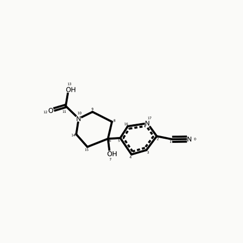 N#Cc1ccc(C2(O)CCN(C(=O)O)CC2)cn1